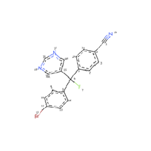 N#Cc1ccc(C(F)(c2ccc(Br)cc2)c2cncnc2)cc1